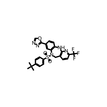 CC(C)(C)c1ccc(S(=O)(=O)N2Cc3ccc(C(F)(F)F)nc3Nc3ccc(-c4nnco4)cc32)cc1